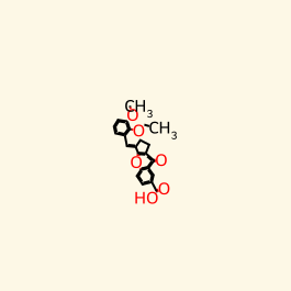 CCOc1c(C=C2CCc3c2oc2ccc(C(=O)O)cc2c3=O)cccc1OC